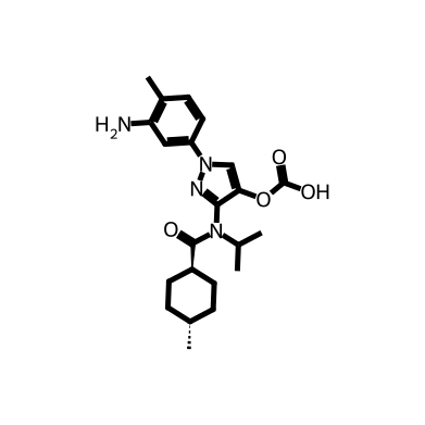 Cc1ccc(-n2cc(OC(=O)O)c(N(C(=O)[C@H]3CC[C@H](C)CC3)C(C)C)n2)cc1N